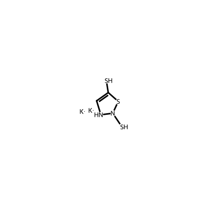 SC1=CNN(S)S1.[K].[K]